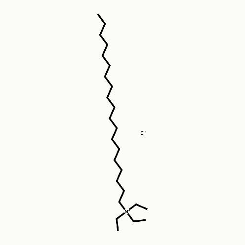 CCCCCCCCCCCCCCCCCCC[N+](CC)(CC)CC.[Cl-]